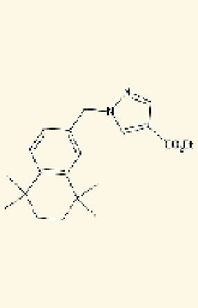 CCOC(=O)c1cnn(Cc2ccc3c(c2)C(C)(C)CCC3(C)C)c1